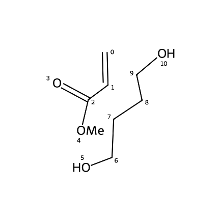 C=CC(=O)OC.OCCCCO